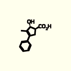 CC1=C(c2ccccc2)C[C@H](C(=O)O)[C@H]1O